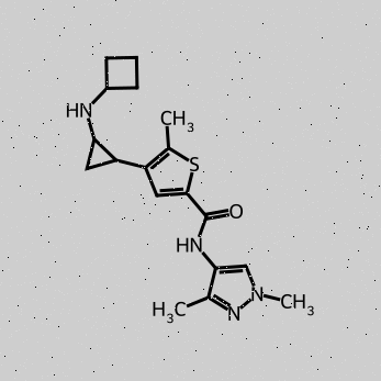 Cc1nn(C)cc1NC(=O)c1cc(C2CC2NC2CCC2)c(C)s1